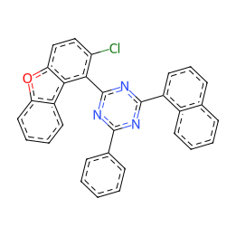 Clc1ccc2oc3ccccc3c2c1-c1nc(-c2ccccc2)nc(-c2cccc3ccccc23)n1